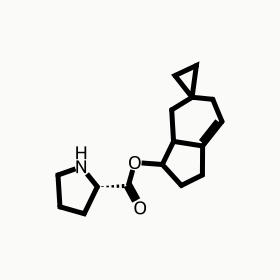 O=C(OC1CCC2=CCC3(CC3)CC21)[C@@H]1CCCN1